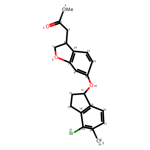 COC(=O)CC1COc2cc(OC3CCc4c3ccc(C(F)(F)F)c4Br)ccc21